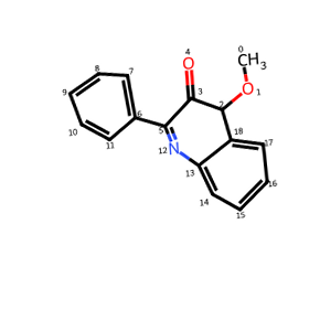 COC1C(=O)C(c2ccccc2)=Nc2ccccc21